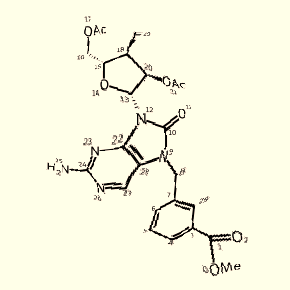 COC(=O)c1cccc(Cn2c(=O)n([C@@H]3O[C@H](COC(C)=O)[C@@H](F)[C@H]3OC(C)=O)c3nc(N)ncc32)c1